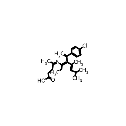 C=C(C(=C(CC)\N=C(\C)CCC(=O)O)/C(C)=C/C(C)C)c1ccc(Cl)cc1